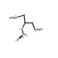 CCCCCCCCC(CCCCCCCC)O[PH2]=O